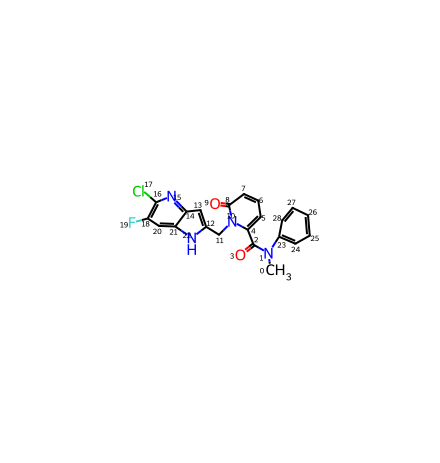 CN(C(=O)c1cccc(=O)n1Cc1cc2nc(Cl)c(F)cc2[nH]1)c1ccccc1